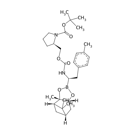 Cc1ccc(C[C@H](NC(=O)OC[C@H]2CCCN2C(=O)OC(C)(C)C)B2O[C@@H]3C[C@@H]4C[C@@H](C4(C)C)[C@]3(C)O2)cc1